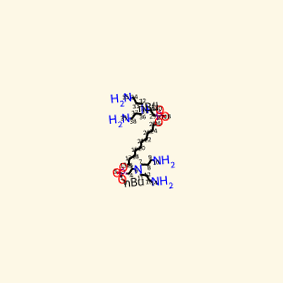 CCCCOP(=O)(CCN(CCCN)CCCN)OCCCCCCCCCCOP(=O)(CCN(CCCN)CCCN)OCCCC